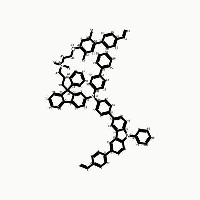 C=Cc1ccc(-c2ccc3c(c2)c2cc(-c4ccc(N(c5ccc(-c6ccccc6)cc5)c5ccc6c(c5)C(CCC[Si](C)(C)CCOc5cc(C)c(-c7ccc(C=C)cc7)cc5C)(c5ccccc5)c5ccccc5-6)cc4)ccc2n3-c2ccccc2)cc1